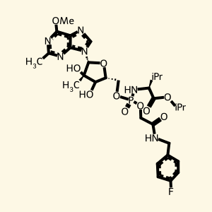 COc1nc(C)nc2c1ncn2[C@@H]1O[C@H](COP(=O)(N[C@H](C(=O)OC(C)C)C(C)C)OCC(=O)NCc2ccc(F)cc2)C(O)[C@]1(C)O